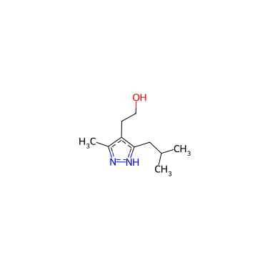 Cc1n[nH]c(CC(C)C)c1CCO